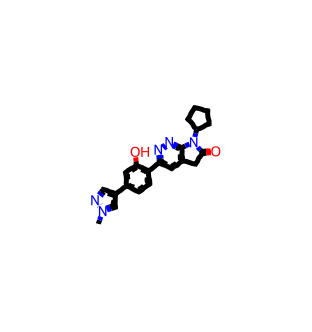 Cn1cc(-c2ccc(-c3cc4c(nn3)N(C3CCCC3)C(=O)C4)c(O)c2)cn1